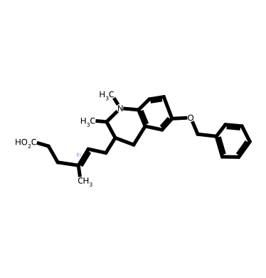 C/C(=C\CC1Cc2cc(OCc3ccccc3)ccc2N(C)C1C)CCC(=O)O